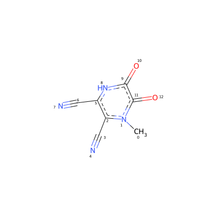 Cn1c(C#N)c(C#N)[nH]c(=O)c1=O